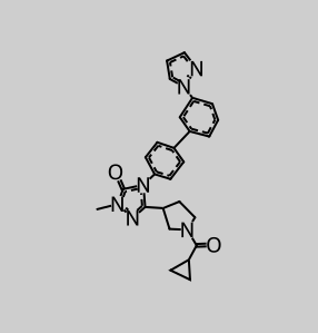 Cn1nc(C2CCN(C(=O)C3CC3)C2)n(-c2ccc(-c3cccc(-n4cccn4)c3)cc2)c1=O